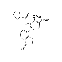 COc1ccc(-c2cccc3c2CCC3=O)c(OC(=O)C2CCCC2)c1OC